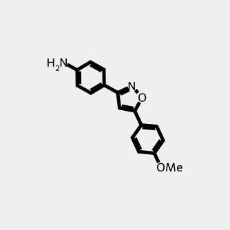 COc1ccc(-c2cc(-c3ccc(N)cc3)no2)cc1